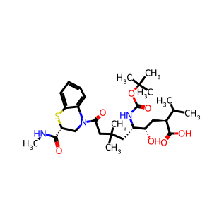 CNC(=O)[C@H]1CN(C(=O)CC(C)(C)C[C@H](NC(=O)OC(C)(C)C)[C@@H](O)C[C@H](C(=O)O)C(C)C)c2ccccc2S1